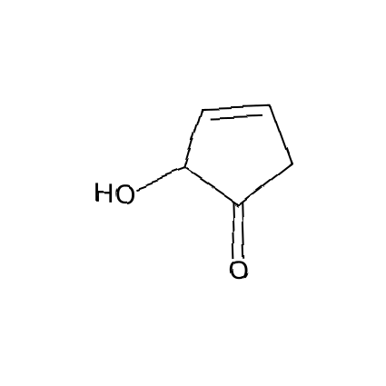 O=C1CC=CC1O